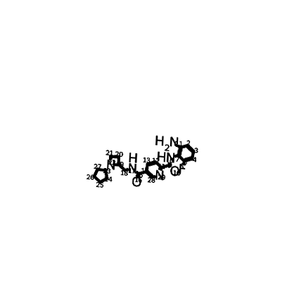 Nc1cccc(F)c1NC(=O)c1ccc(C(=O)NCC2CCN2C2CCCC2)cn1